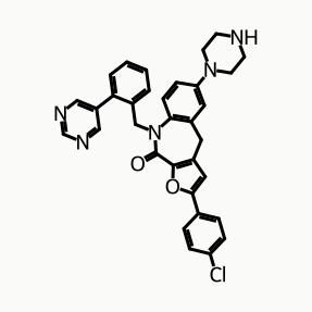 O=C1c2oc(-c3ccc(Cl)cc3)cc2Cc2cc(N3CCNCC3)ccc2N1Cc1ccccc1-c1cncnc1